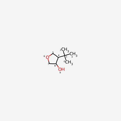 CC(C)(C)C1COCC1O